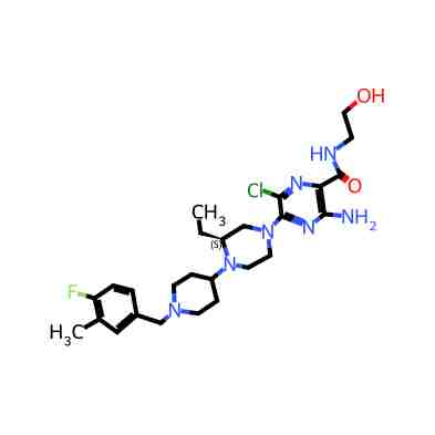 CC[C@H]1CN(c2nc(N)c(C(=O)NCCO)nc2Cl)CCN1C1CCN(Cc2ccc(F)c(C)c2)CC1